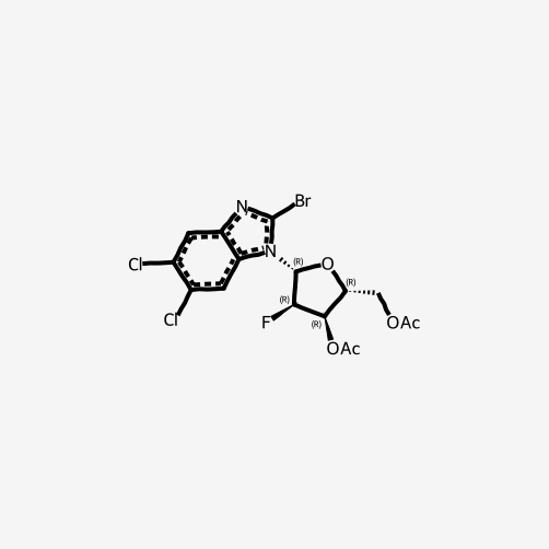 CC(=O)OC[C@H]1O[C@@H](n2c(Br)nc3cc(Cl)c(Cl)cc32)[C@H](F)[C@@H]1OC(C)=O